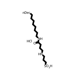 CCCCCCCCCCCCCCCCCCNC(=O)CCCNCCCS(=O)(=O)O.Cl